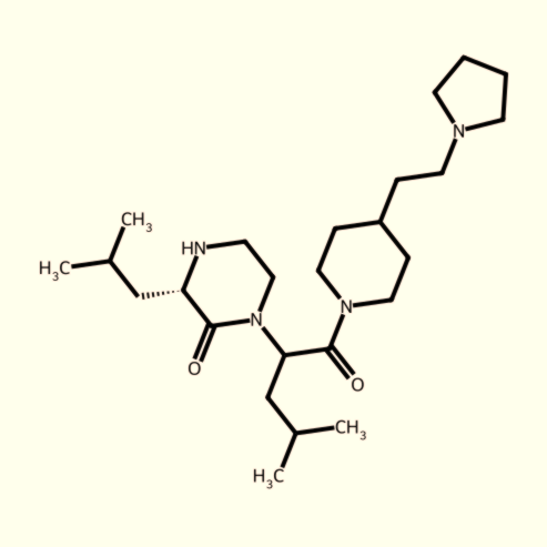 CC(C)CC(C(=O)N1CCC(CCN2CCCC2)CC1)N1CCN[C@@H](CC(C)C)C1=O